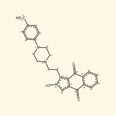 O=C(O)c1ccc(N2CCN(CCn3c4c(n[n+]3[O-])C(=O)c3ccccc3C4=O)CC2)cc1